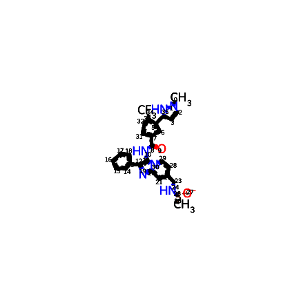 CN1C=CC(c2cc(C(=O)Nc3c(-c4ccccc4)nc4cc(CN[S+](C)[O-])ccn34)ccc2C(F)(F)F)N1